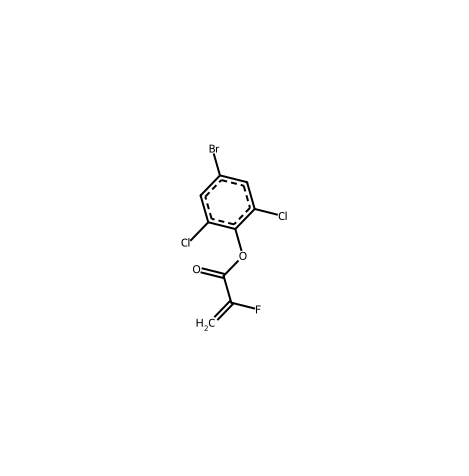 C=C(F)C(=O)Oc1c(Cl)cc(Br)cc1Cl